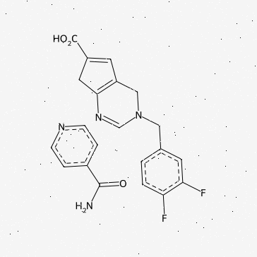 NC(=O)c1ccncc1.O=C(O)C1=CC2=C(C1)N=CN(Cc1ccc(F)c(F)c1)C2